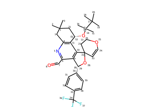 CC1(C)Cc2nc(C=O)c3c(c2[C@@H](O[Si](C)(C)C(C)(C)C)C1)C1(C=COCC1)O[C@@H]3c1ccc(C(F)(F)F)cc1